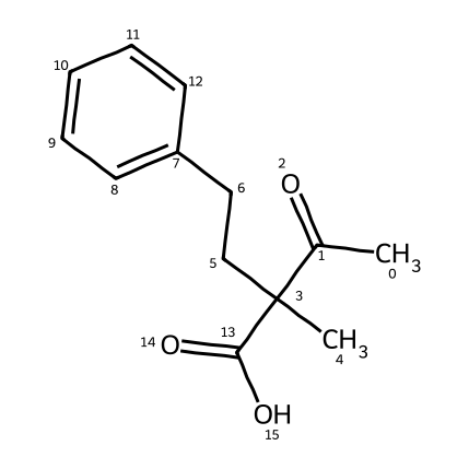 CC(=O)C(C)(CCc1ccccc1)C(=O)O